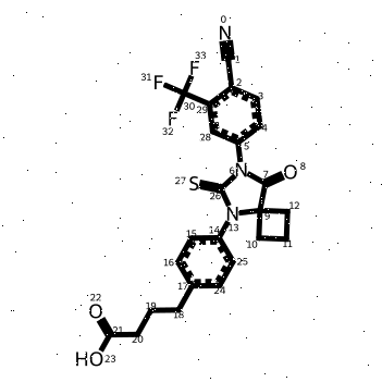 N#Cc1ccc(N2C(=O)C3(CCC3)N(c3ccc(CCCC(=O)O)cc3)C2=S)cc1C(F)(F)F